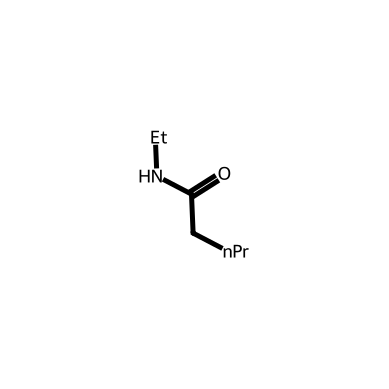 CCCCC(=O)NCC